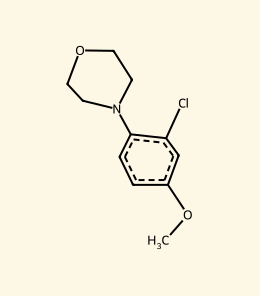 COc1ccc(N2CCOCC2)c(Cl)c1